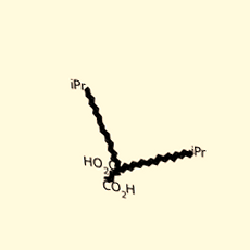 CC(C)CCCCCCCCCCCCCCCCCC(CCCCCCCCCCCCCCCCCC(C)C)(CCCCC(=O)O)C(=O)O